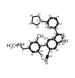 CNCc1cc(C)c(-c2cc3c(-c4cccc(N5CCCC5)n4)n[nH]c3cc2C#N)c(F)c1